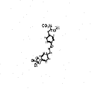 CCOC(Cc1ccc(OCCc2ccc(OS(=O)(=O)CC)cc2)cc1)C(=O)O